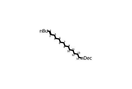 CCCC/C=C/CCCCCCCCCCCCCCCCCCCCCC